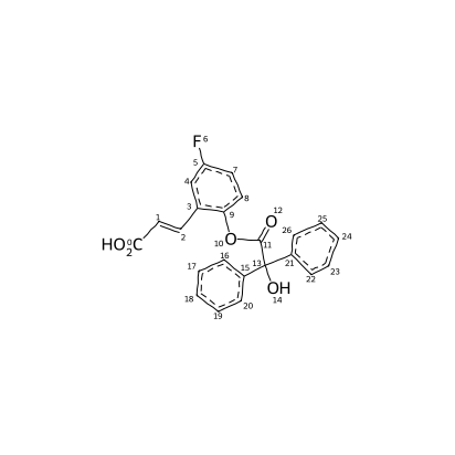 O=C(O)/C=C/c1cc(F)ccc1OC(=O)C(O)(c1ccccc1)c1ccccc1